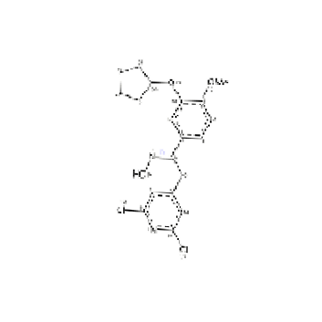 COc1ccc(/C(Cc2cc(Cl)nc(Cl)c2)=N/O)cc1OC1CCCC1